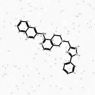 c1ccc(-c2nc(CN3CCc4c(ccnc4Nc4cnc5ccccc5c4)C3)no2)cc1